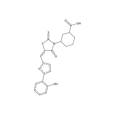 O=C(O)C1CCCC(N2C(=O)/C(=C\c3ccc(-c4ccccc4O)o3)SC2=S)C1